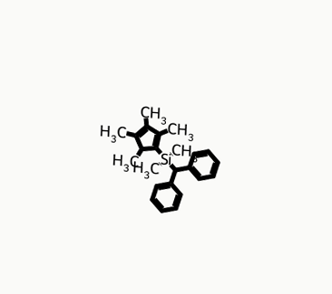 CC1=C(C)C(C)C([Si](C)(C)C(c2ccccc2)c2ccccc2)=C1C